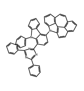 C1=Cc2cccc3c2c2c4c1cccc4ccc2n3-c1ccc(-c2nc(-c3ccccc3)nc(-c3ccccc3)n2)c2c1c1ccccc1n2-c1ccccc1